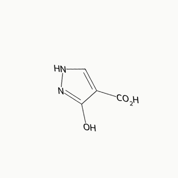 O=C(O)c1c[nH]nc1O